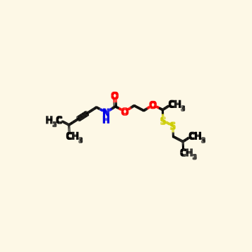 CC(C)C#CCNC(=O)OCCOC(C)SSCC(C)C